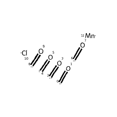 [C]=O.[C]=O.[C]=O.[C]=O.[C]=O.[Cl].[Mn]